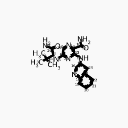 CC(C)(C)[C@@H](Nc1cnc(C(N)=O)c(Nc2cnc3ccccc3c2)n1)C(N)=O